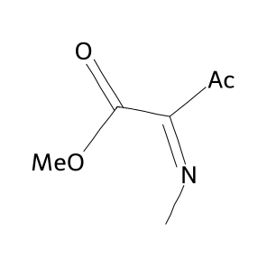 CN=C(C(C)=O)C(=O)OC